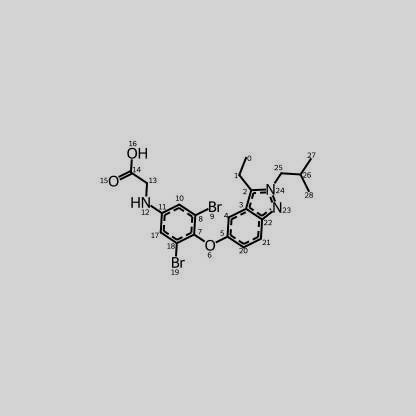 CCc1c2cc(Oc3c(Br)cc(NCC(=O)O)cc3Br)ccc2nn1CC(C)C